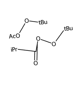 CC(=O)OOC(C)(C)C.CC(C)C(=O)OOC(C)(C)C